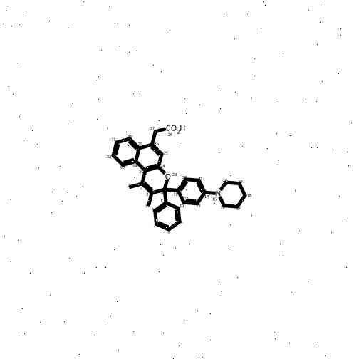 CC1=C(C)C(c2ccccc2)(c2ccc(N3CCCCC3)cc2)Oc2cc(CC(=O)O)c3ccccc3c21